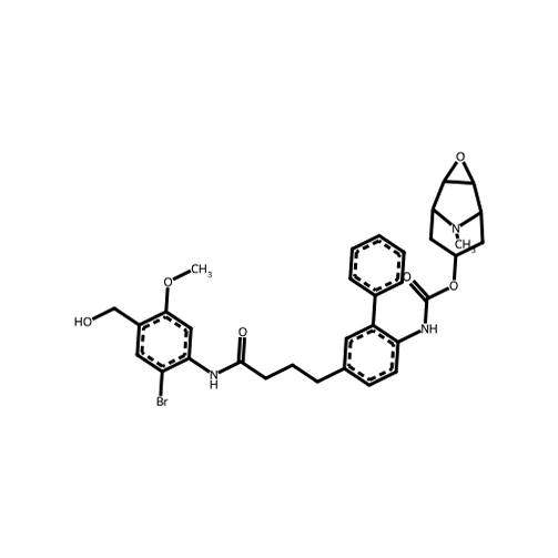 COc1cc(NC(=O)CCCc2ccc(NC(=O)OC3CC4C5OC5C(C3)N4C)c(-c3ccccc3)c2)c(Br)cc1CO